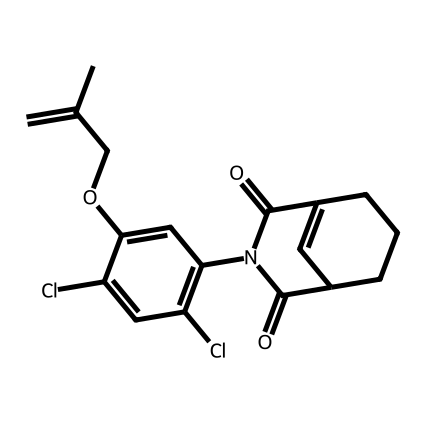 C=C(C)COc1cc(N2C(=O)C3=CC(CCC3)C2=O)c(Cl)cc1Cl